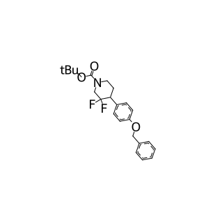 CC(C)(C)OC(=O)N1CCC(c2ccc(OCc3ccccc3)cc2)C(F)(F)C1